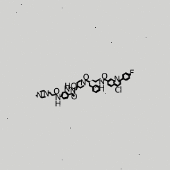 CN1CCN(CCC(=O)Nc2ccc3c(=O)n(CC4(O)CCN(C(=O)[C@H](CCCNC(=O)c5ccc6c(Cl)cc(-c7ccc(F)cc7)nc6c5)Cc5ccccc5)CC4)cnc3c2)CC1